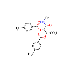 Cc1ccc(C(=O)O[C@H](C(=O)O)[C@H](OC(=O)c2ccc(C)cc2)C(=O)NC(C)C)cc1